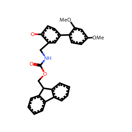 COc1ccc(-c2ccc([O])c(CNC(=O)OCC3c4ccccc4-c4ccccc43)c2)c(OC)c1